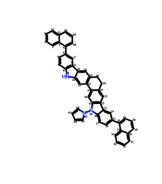 c1ccc2c(-c3ccc4[nH]c5cc6c(cc5c4c3)CCc3cc4c5cc(-c7cccc8ccccc78)ccc5n(-n5cccc5)c4cc3-6)cccc2c1